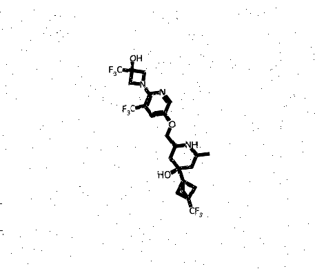 CC1CC(O)(C23CC(C(F)(F)F)(C2)C3)CC(COc2cnc(N3CC(O)(C(F)(F)F)C3)c(C(F)(F)F)c2)N1